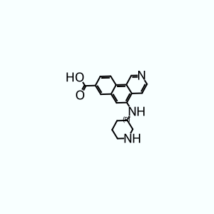 O=C(O)c1ccc2c(c1)cc(N[C@@H]1CCCNC1)c1ccncc12